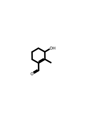 CC1=C(C=O)CCCC1O